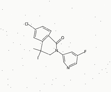 CC1(I)CN(c2cncc(F)c2)C(=O)c2ccc(Cl)cc21